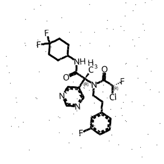 C[C@](C(=O)NC1CCC(F)(F)CC1)(c1cncnc1)N(CCc1cccc(F)c1)C(=O)[C@H](F)Cl